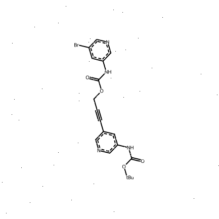 CC(C)(C)OC(=O)Nc1cncc(C#CCOC(=O)Nc2cncc(Br)c2)c1